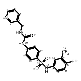 O=C(NCc1cccnc1)Nc1ccc(S(=O)(=O)Nc2ccc(F)c(C(F)(F)F)c2)cc1